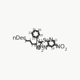 CCCCCCCCCCCCCc1nnc(Sc2ncc([N+](=O)[O-])cc2[N+](=O)[O-])n1-c1ccccc1